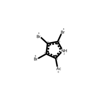 CC(=O)c1[nH]c(Br)c(Br)c1Br